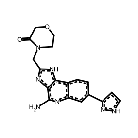 Nc1nc2cc(-c3cc[nH]n3)ccc2c2[nH]c(CN3CCOCC3=O)nc12